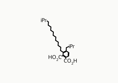 CC(C)CCCCCCCCCCCCc1c(CC(C)C)ccc(C(=O)O)c1C(=O)O